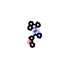 c1ccc2c(c1)-c1cccc3cccc(c13)N2c1nc(-c2ccc3oc4ccccc4c3c2)c2ccccc2n1